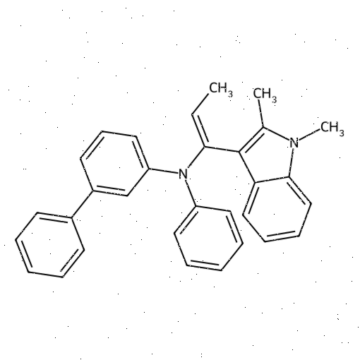 C/C=C(\c1c(C)n(C)c2ccccc12)N(c1ccccc1)c1cccc(-c2ccccc2)c1